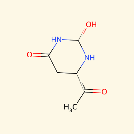 CC(=O)[C@@H]1CC(=O)N[C@H](O)N1